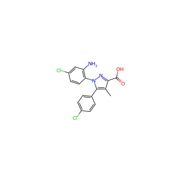 Cc1c(C(=O)O)nn(-c2ccc(Cl)cc2N)c1-c1ccc(Cl)cc1